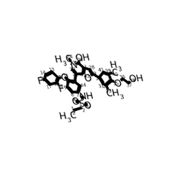 CCCS(=O)(=O)Nc1ccc(Oc2ccc(F)cc2F)c(C2=CN(C)C(O)c3cc(-c4cc(C)c(OCCO)c(C)c4)oc32)c1